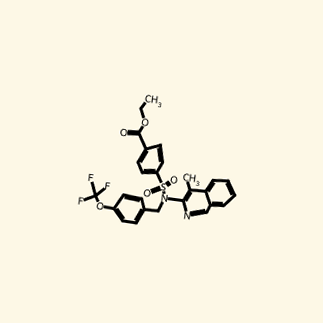 CCOC(=O)c1ccc(S(=O)(=O)N(Cc2ccc(OC(F)(F)F)cc2)c2ncc3ccccc3c2C)cc1